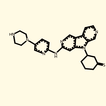 S=C1CCCC(n2c3cnccc3c3cnc(Nc4ccc(N5CCNCC5)cn4)cc32)C1